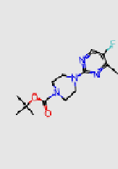 CCc1nc(N2CCN(C(=O)OC(C)(C)C)CC2)ncc1F